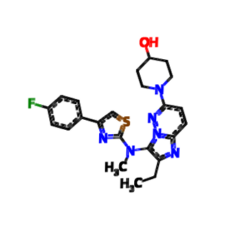 CCc1nc2ccc(N3CCC(O)CC3)nn2c1N(C)c1nc(-c2ccc(F)cc2)cs1